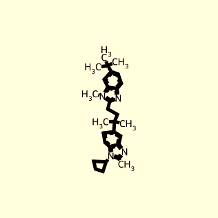 Cc1nc2cc(C(C)(C)CCc3nc4ccc(C(C)(C)C)cc4n3C)ccc2n1C1CCC1